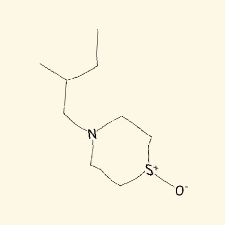 CCC(C)CN1CC[S+]([O-])CC1